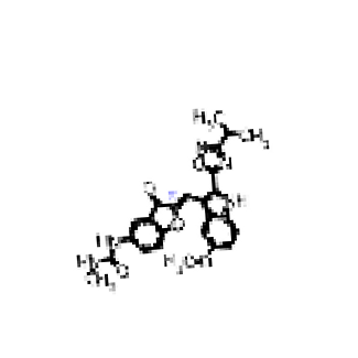 CNC(=O)Nc1ccc2c(c1)C(=O)/C(=C/c1c(-c3nc(C(C)C)no3)[nH]c3ccc(OC)cc13)O2